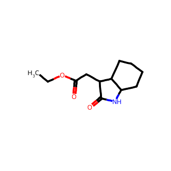 CCOC(=O)CC1C(=O)NC2CCCCC21